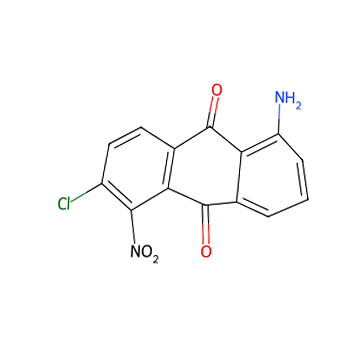 Nc1cccc2c1C(=O)c1ccc(Cl)c([N+](=O)[O-])c1C2=O